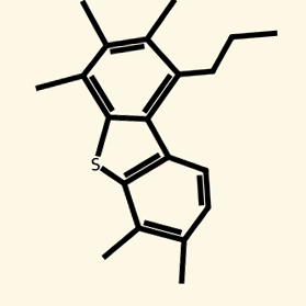 CCCc1c(C)c(C)c(C)c2sc3c(C)c(C)ccc3c12